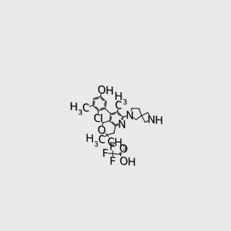 Cc1cc(O)cc(-c2c(C)c(N3CCC4(CNC4)C3)nc3c2COC(C)(C)C3)c1Cl.O=C(O)C(F)(F)F